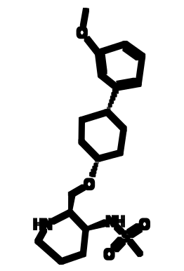 COc1cccc([C@H]2CC[C@@H](OC[C@@H]3NCCC[C@@H]3NS(C)(=O)=O)CC2)c1